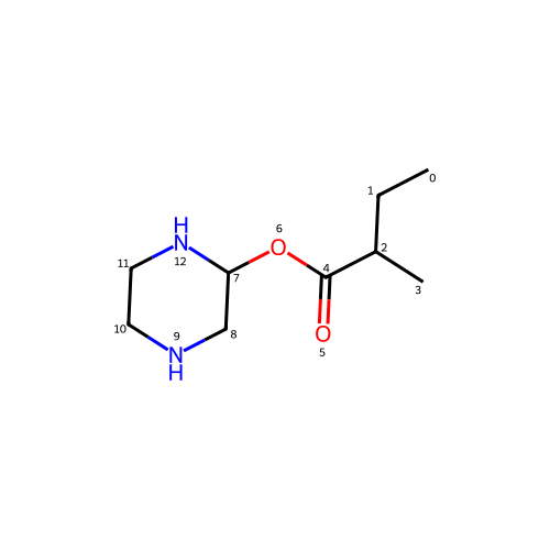 CCC(C)C(=O)OC1CNCCN1